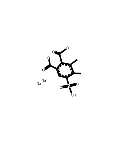 Cc1c(S(=O)(=O)O)cc(C(=O)[O-])c(C(=O)[O-])c1C.[Na+].[Na+]